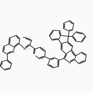 C=C(/C=C\C(=C/C)c1cccc(-c2nc3ccccc3c3cc4c(cc23)-c2ccccc2C4(c2ccccc2)c2ccccc2)c1)C(/C=C\C)=N/c1cccc2ccc(-c3ccccc3)nc12